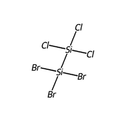 Cl[Si](Cl)(Cl)[Si](Br)(Br)Br